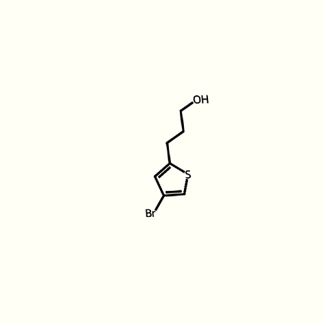 OCCCc1cc(Br)cs1